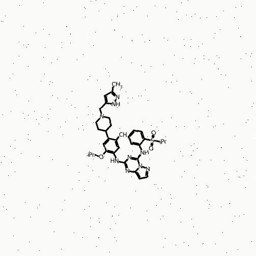 Cc1cc(CN2CCC(c3cc(OC(C)C)c(Nc4nc(Nc5ccccc5S(=O)(=O)C(C)C)n5nccc5n4)cc3C)CC2)[nH]n1